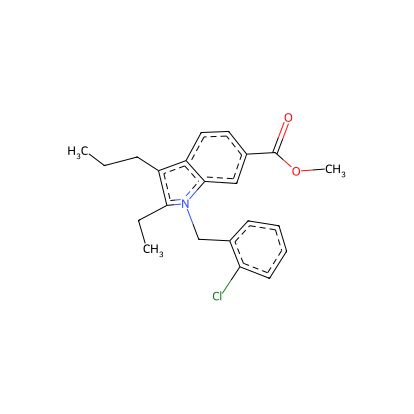 CCCc1c(CC)n(Cc2ccccc2Cl)c2cc(C(=O)OC)ccc12